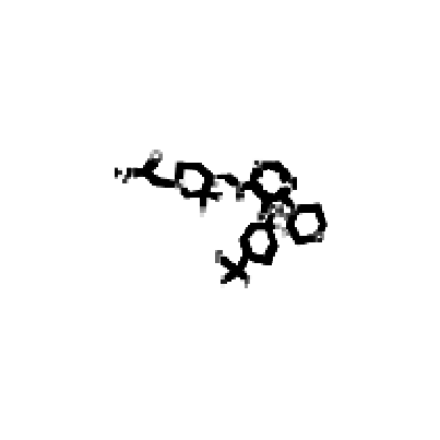 CC1([C@H]2COCCN2c2ncnc(NC[C@H]3CCN(CC(N)=O)CC3(F)F)c2F)C=CC(C(F)(F)F)=CC1